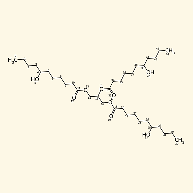 CCCCC(O)CCCCCC(=O)OCC(COC(=O)CCCCCC(O)CCCC)OC(=O)CCCCCC(O)CCCC